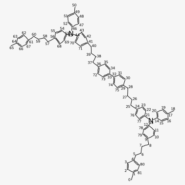 Cc1ccc(CCCCc2ccc(N(c3ccc(C)cc3)c3ccc(CCCCc4ccc(-c5ccc(CCCCc6ccc(N(c7ccc(C)cc7)c7ccc(CCCCc8ccc(C)cc8)cc7)cc6)cc5)cc4)cc3)cc2)cc1